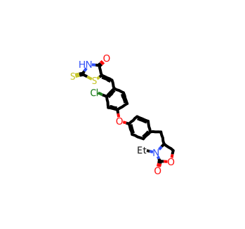 CCN1C(=O)OCC1Cc1ccc(Oc2ccc(/C=C3\SC(=S)NC3=O)c(Cl)c2)cc1